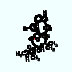 CCC(O)(CC)C(=O)N[C@H]1Cc2ccc3c(c2)[C@]24c5cc(Br)cc(c5NC2O3)-c2cccc3[nH]cc(c23)-c2cnc(o2)-c2nc(oc24)[C@H](C(C)C)NC1=O